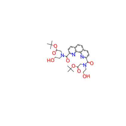 CC(C)(C)OC(=O)CN(CCO)C(=O)c1ccc2ccc3ccc(C(=O)N(CCO)CC(=O)OC(C)(C)C)nc3c2n1